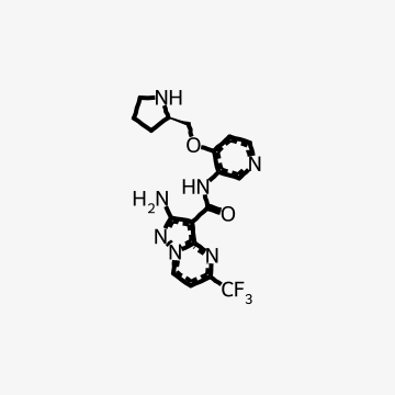 Nc1nn2ccc(C(F)(F)F)nc2c1C(=O)Nc1cnccc1OC[C@H]1CCCN1